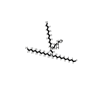 CCCCCCCCCCCCN(CCCCCCCCCCCC)CCN(CCCCCCCCCCCC)CCNC=O